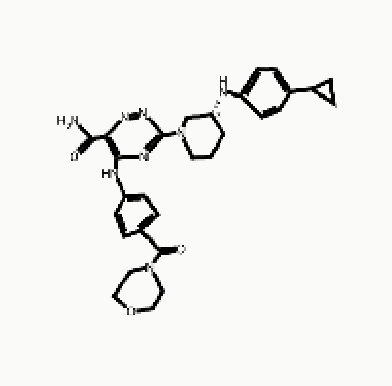 NC(=O)c1nnc(N2CCC[C@@H](Nc3ccc(C4CC4)cc3)C2)nc1Nc1ccc(C(=O)N2CCOCC2)cc1